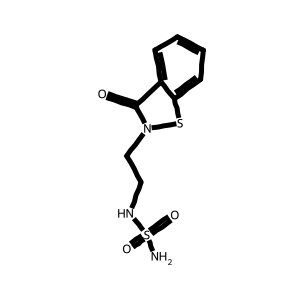 NS(=O)(=O)NCCn1sc2ccccc2c1=O